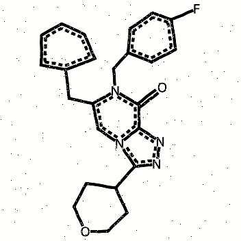 O=c1c2nnc(C3CCOCC3)n2cc(Cc2ccccc2)n1Cc1ccc(F)cc1